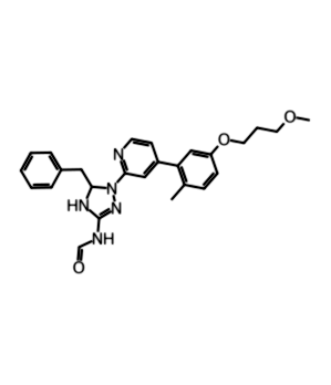 COCCCOc1ccc(C)c(-c2ccnc(N3N=C(NC=O)NC3Cc3ccccc3)c2)c1